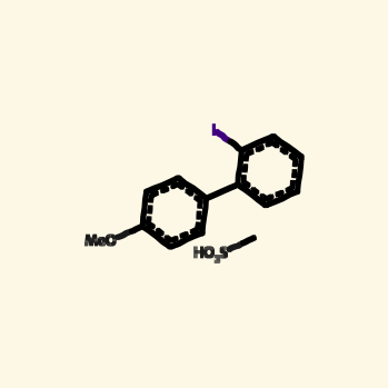 COc1ccc(-c2ccccc2I)cc1.CS(=O)(=O)O